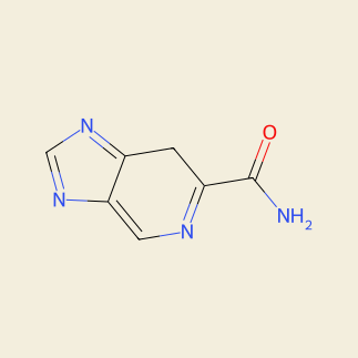 NC(=O)C1=NC=C2N=CN=C2C1